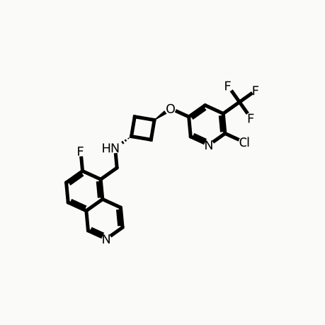 Fc1ccc2cnccc2c1CN[C@H]1C[C@H](Oc2cnc(Cl)c(C(F)(F)F)c2)C1